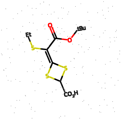 CCSC(C(=O)OC(C)(C)C)=C1SC(C(=O)O)S1